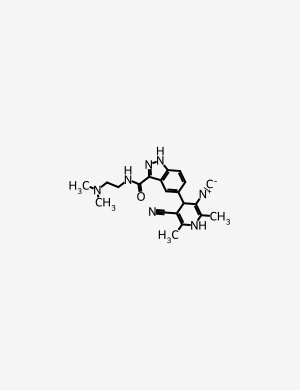 [C-]#[N+]C1=C(C)NC(C)=C(C#N)C1c1ccc2[nH]nc(C(=O)NCCN(C)C)c2c1